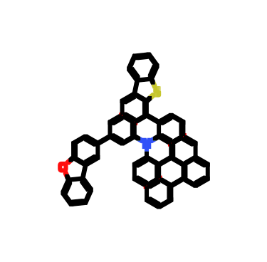 c1ccc(-c2cccc3cccc(-c4ccccc4N(c4cccc(-c5ccc6oc7ccccc7c6c5)c4)c4ccccc4-c4cccc5c4sc4ccccc45)c23)cc1